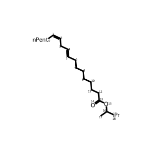 CCCCC/C=C\C/C=C/CCCCCCCC(=O)OC(C)C(C)C